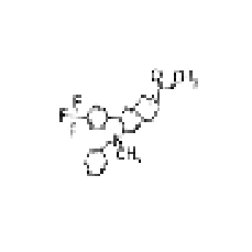 C=CC(=O)N1CCc2cc(N(C)Cc3ccccc3)c(-c3ccc(C(F)(F)F)cc3)cc2C1